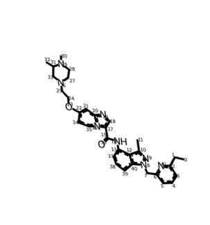 CCc1cccc(Cn2nc(C)c3c(NC(=O)c4cnc5cc(OCCN6CCN(C)C(C)C6)ccn45)cccc32)n1